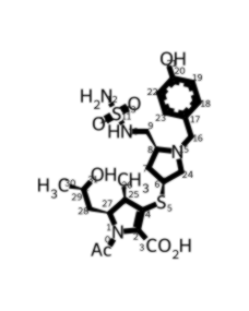 CC(=O)N1C(C(=O)O)=C(S[C@H]2C[C@@H](CNS(N)(=O)=O)N(Cc3ccc(O)cc3)C2)[C@H](C)[C@@H]1C[C@@H](C)O